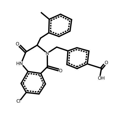 Cc1ccccc1CC1C(=O)Nc2cc(Cl)ccc2C(=O)N1Cc1ccc(C(=O)O)cc1